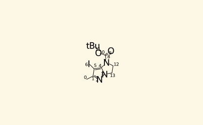 Cc1nn2c(c1I)N(C(=O)OC(C)(C)C)CC2